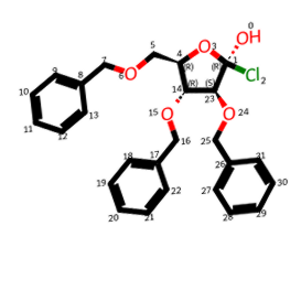 O[C@@]1(Cl)O[C@H](COCc2ccccc2)[C@@H](OCc2ccccc2)[C@@H]1OCc1ccccc1